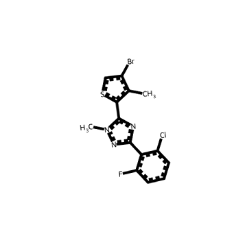 Cc1c(Br)csc1-c1nc(-c2c(F)cccc2Cl)nn1C